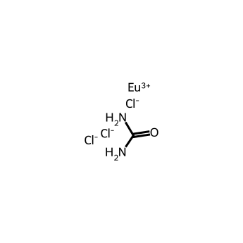 NC(N)=O.[Cl-].[Cl-].[Cl-].[Eu+3]